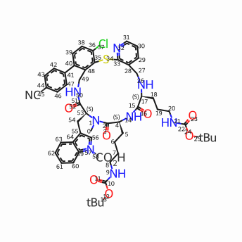 CN1C(=O)[C@H](CCCCNC(=O)OC(C)(C)C)NC(=O)[C@H](CCCNC(=O)OC(C)(C)C)NCc2cccnc2Sc2c(Cl)ccc(-c3ccc(C#N)cc3)c2CNC(=O)[C@@H]1Cc1cn(C(=O)O)c2ccccc12